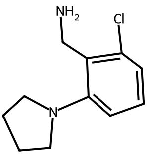 NCc1c(Cl)cccc1N1CCCC1